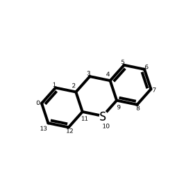 C1=CC2Cc3ccccc3SC2C=C1